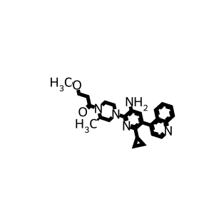 COCCC(=O)N1CCN(c2nc(C3CC3)c(-c3ccnc4ccccc34)cc2N)C[C@H]1C